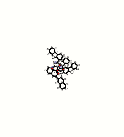 CC1C/C=C(c2cccc3c2oc2ccccc23)/N=C(c2cccc3c2oc2ccccc23)\N=C/1c1cc2c(cc1-n1c3cc4ccccc4cc3c3cc4ccccc4cc31)oc1ccccc12